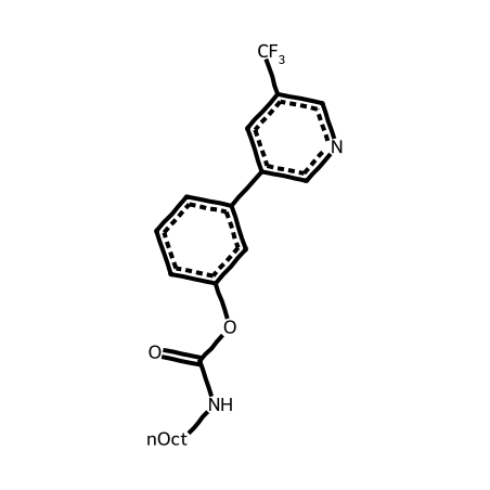 CCCCCCCCNC(=O)Oc1cccc(-c2cncc(C(F)(F)F)c2)c1